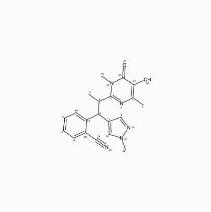 Cc1nc(C(C)C(c2cnn(C)c2)c2ccccc2C#N)n(C)c(=O)c1O